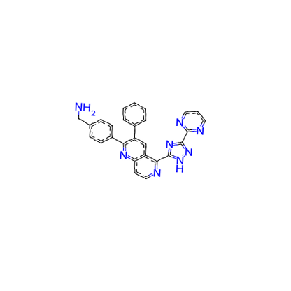 NCc1ccc(-c2nc3ccnc(-c4nc(-c5ncccn5)n[nH]4)c3cc2-c2ccccc2)cc1